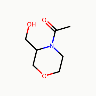 CC(=O)N1CCOCC1CO